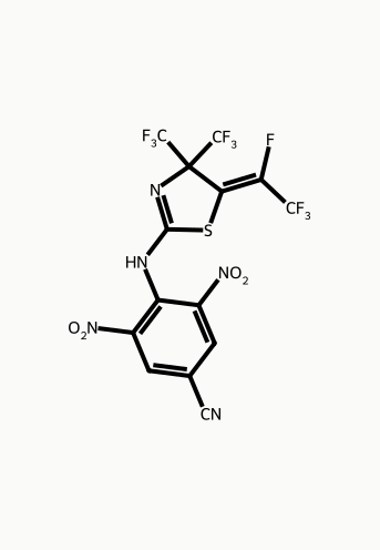 N#Cc1cc([N+](=O)[O-])c(NC2=NC(C(F)(F)F)(C(F)(F)F)C(=C(F)C(F)(F)F)S2)c([N+](=O)[O-])c1